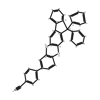 N#Cc1ccc(-c2ccc3c(c2)Oc2cc4c(cc2O3)C(c2ccccc2)(c2ccccc2)c2ccccc2-4)cc1